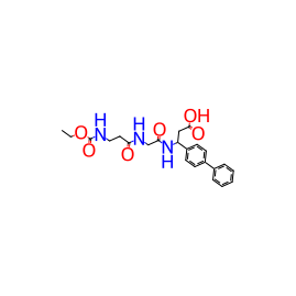 CCOC(=O)NCCC(=O)NCC(=O)NC(CC(=O)O)c1ccc(-c2ccccc2)cc1